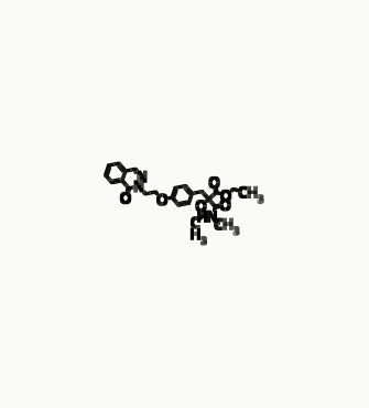 CCOC(=O)C(Cc1ccc(OCCn2ncc3ccccc3c2=O)cc1)(OCC)C(=O)NC